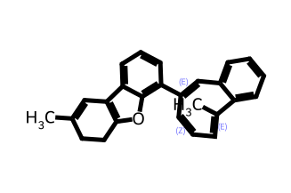 CC1=Cc2c(oc3c(C4=C/c5ccccc5/C(C)=C/C=C\4)cccc23)CC1